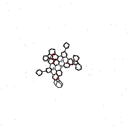 c1ccc(-c2cc(-c3ccccc3)c(N3c4cc(N5C6CC7CC(C6)CC5C7)ccc4B4c5ccc(-n6c7ccccc7c7ccccc76)cc5N(c5c(-c6ccccc6)cc(-c6ccccc6)cc5-c5ccccc5)c5cc(-n6c7ccccc7c7ccccc76)cc3c54)c(-c3ccccc3)c2)cc1